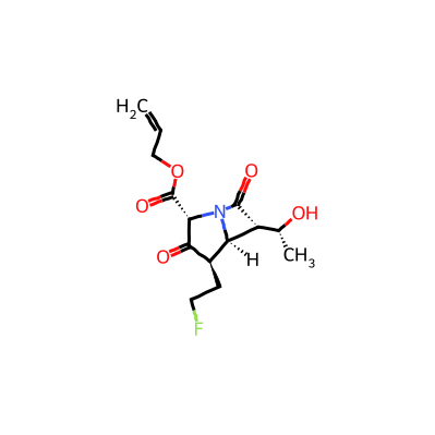 C=CCOC(=O)[C@H]1C(=O)[C@H](CCF)[C@@H]2[C@@H]([C@@H](C)O)C(=O)N12